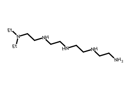 CCN(CC)CCNCCNCCNCCN